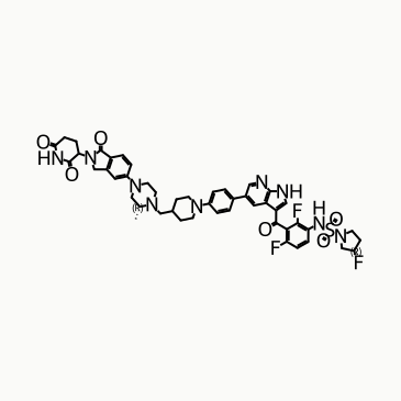 C[C@@H]1CN(c2ccc3c(c2)CN(C2CCC(=O)NC2=O)C3=O)CCN1CC1CCN(c2ccc(-c3cnc4[nH]cc(C(=O)c5c(F)ccc(NS(=O)(=O)N6CC[C@@H](F)C6)c5F)c4c3)cc2)CC1